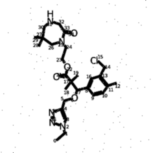 CCn1cc(COC(c2ccc(C)c(CCl)c2)C(C)(C)C(=O)OCCN2CC(C)(C)CNCC2=O)nn1